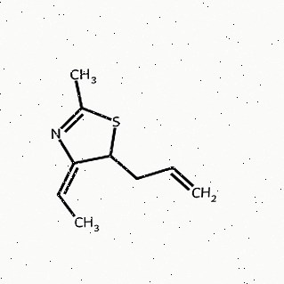 C=CCC1SC(C)=N/C1=C/C